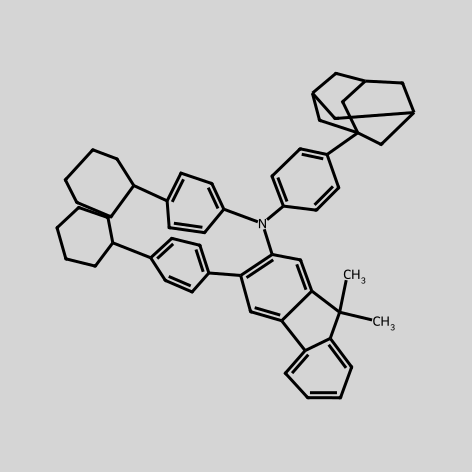 CC1(C)c2ccccc2-c2cc(-c3ccc(C4CCCCC4)cc3)c(N(c3ccc(C4CCCCC4)cc3)c3ccc(C45CC6CC(CC(C6)C4)C5)cc3)cc21